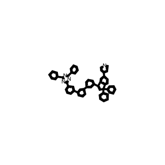 C1=C(c2cccc(-c3cccc(-c4cccc(-c5nc(-c6ccccc6)nc(-c6ccccc6)n5)c4)c3)c2)c2cc(-c3ccncc3)ccc2C1(c1ccccc1)c1ccccc1